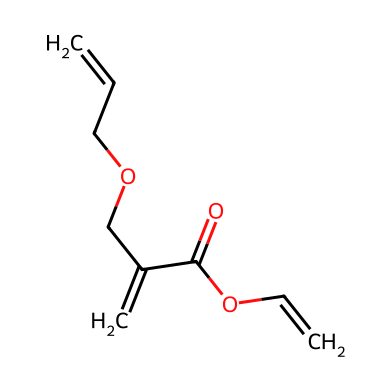 C=CCOCC(=C)C(=O)OC=C